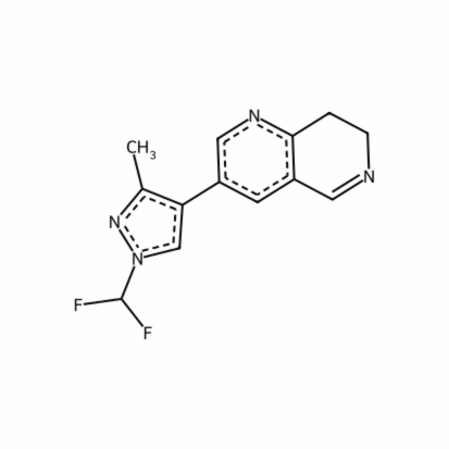 Cc1nn(C(F)F)cc1-c1cnc2c(c1)C=NCC2